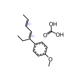 C/C=C/C=C(\CC)c1ccc(OC)cc1.O=C(O)O